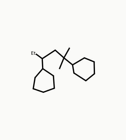 CCC(CC(C)(C)C1CCCCC1)C1CCCCC1